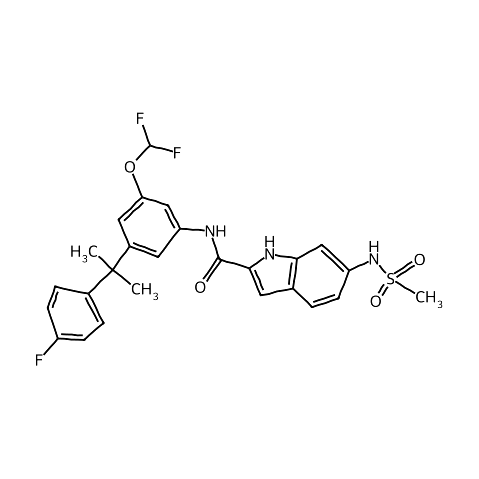 CC(C)(c1ccc(F)cc1)c1cc(NC(=O)c2cc3ccc(NS(C)(=O)=O)cc3[nH]2)cc(OC(F)F)c1